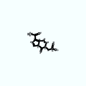 NC(=O)c1ncn2c(=O)n(C[N+](=O)[O-])nnc12